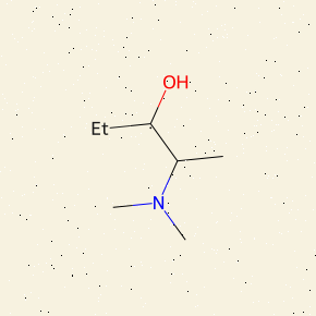 CC[C](O)C(C)N(C)C